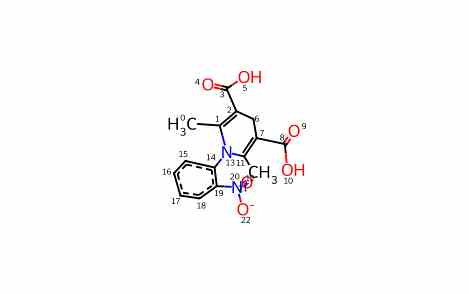 CC1=C(C(=O)O)CC(C(=O)O)=C(C)N1c1ccccc1[N+](=O)[O-]